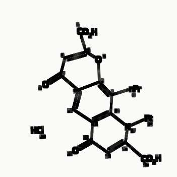 CCCc1c2oc(C(=O)O)cc(=O)c2cc2c(=O)cc(C(=O)O)n(CC)c12.Cl